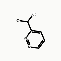 CCC([O])c1cccnn1